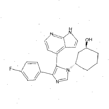 O[C@H]1CCC[C@H](n2cnc(-c3ccc(F)cc3)c2-c2ccnc3[nH]ccc23)C1